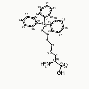 N[C@@H](CSCCCC[Si](c1ccccc1)(c1ccccc1)c1ccccc1)C(=O)O